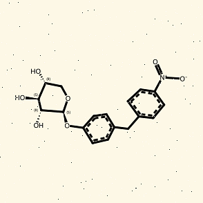 O=[N+]([O-])c1ccc(Cc2ccc(O[C@@H]3OC[C@@H](O)[C@H](O)[C@H]3O)cc2)cc1